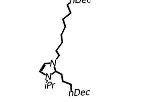 CCCCCCCCCCCCCCCCCCN1C=CN(C(C)C)C1CCCCCCCCCCCCC